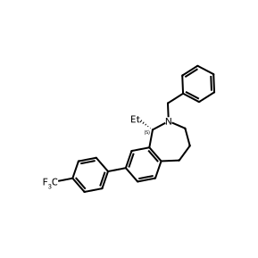 CC[C@H]1c2cc(-c3ccc(C(F)(F)F)cc3)ccc2CCCN1Cc1ccccc1